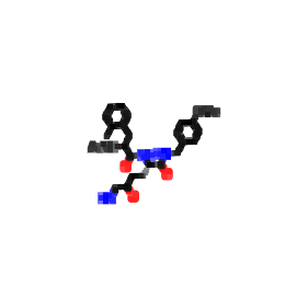 COc1ccc(CNC(=O)[C@H](CCC(=O)C=N)NC(=O)[C@H](Cc2ccccc2C)NC(C)=O)cc1